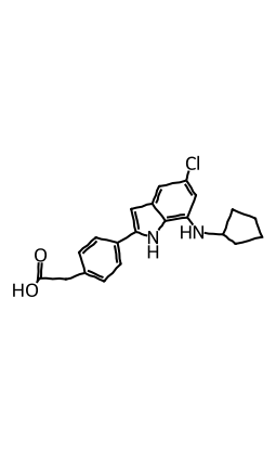 O=C(O)Cc1ccc(-c2cc3cc(Cl)cc(NC4CCCC4)c3[nH]2)cc1